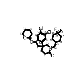 O=C1CCC(CCOC2CCCCO2)(c2ccc(Cl)c(Cl)c2)CN1CC1CCC(F)(F)CC1